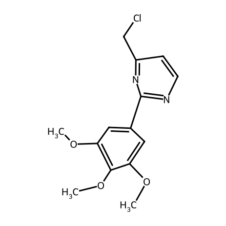 COc1cc(-c2nccc(CCl)n2)cc(OC)c1OC